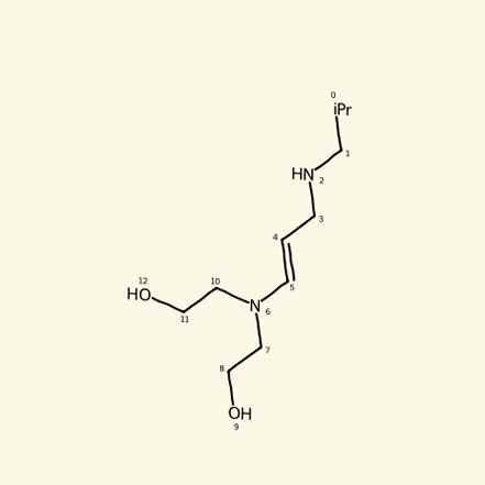 CC(C)CNCC=CN(CCO)CCO